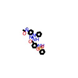 CC(=O)N(C)c1ccc2c(c1)nc(NC(=O)c1cccc(NS(=O)(=O)c3ccccc3)c1)n2-c1ccccc1